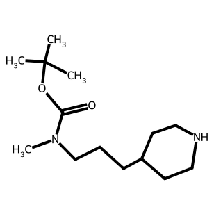 CN(CCCC1CCNCC1)C(=O)OC(C)(C)C